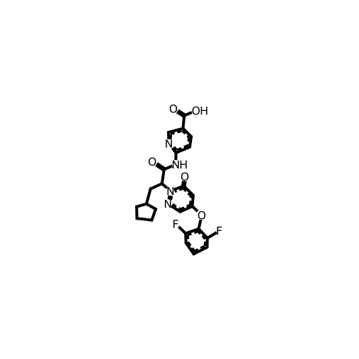 O=C(O)c1ccc(NC(=O)C(CC2CCCC2)n2ncc(Oc3c(F)cccc3F)cc2=O)nc1